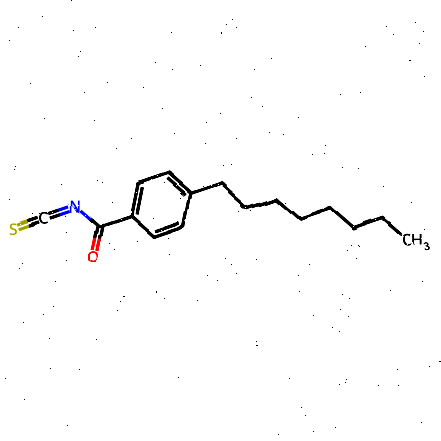 CCCCCCCCc1ccc(C(=O)N=C=S)cc1